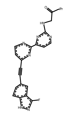 CC(C)C(=O)CNc1nccc(-c2nccc(C#Cc3ccc4[nH]nc(F)c4c3)n2)n1